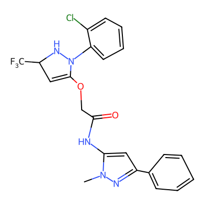 Cn1nc(-c2ccccc2)cc1NC(=O)COC1=CC(C(F)(F)F)NN1c1ccccc1Cl